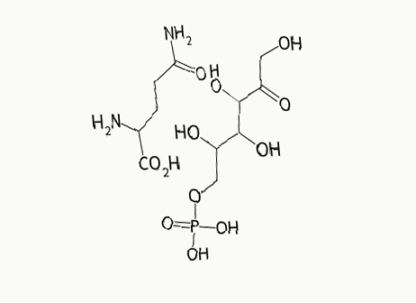 NC(=O)CCC(N)C(=O)O.O=C(CO)C(O)C(O)C(O)COP(=O)(O)O